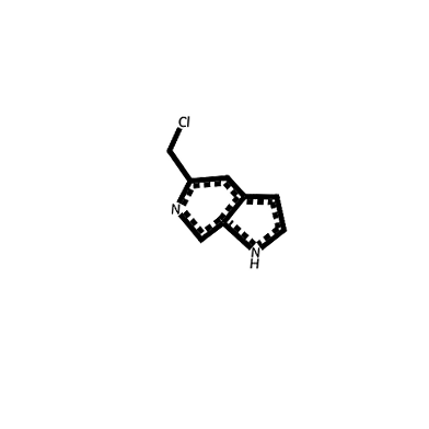 ClCc1cc2cc[nH]c2cn1